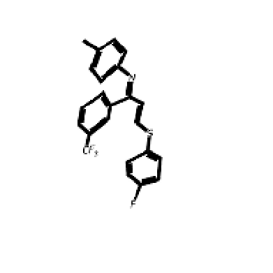 Cc1ccc(N=C(C=CSc2ccc(F)cc2)c2cccc(C(F)(F)F)c2)cc1